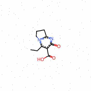 CCc1c(C(=O)O)c(=O)nc2n1CCC2